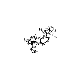 CC(C)(C)OC(=O)N1CCCC(Nc2ncnc3[nH]cc(CCO)c23)C1